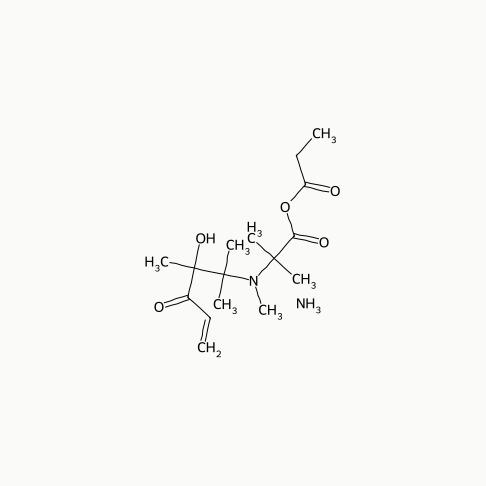 C=CC(=O)C(C)(O)C(C)(C)N(C)C(C)(C)C(=O)OC(=O)CC.N